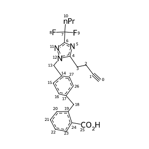 C#CCCc1nc(C(F)(F)CCC)nn1Cc1ccc(Cc2ccccc2C(=O)O)cc1